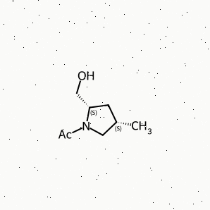 CC(=O)N1C[C@@H](C)C[C@H]1CO